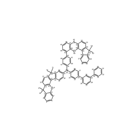 CC1(C)c2ccccc2Oc2c1ccc1c2-c2ccc(N(c3ccc(-c4cccc(-c5ccccc5)c4)cc3)c3ccc(-c4cccc5c4Oc4c(ccc6c4-c4ccccc4C6(C)C)S5)cc3)cc2C1(C)C